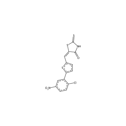 O=C1NC(=S)SC1=Cc1ccc(-c2cc([N+](=O)[O-])ccc2Cl)s1